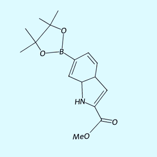 COC(=O)C1=CC2C=CC(B3OC(C)(C)C(C)(C)O3)=CC2N1